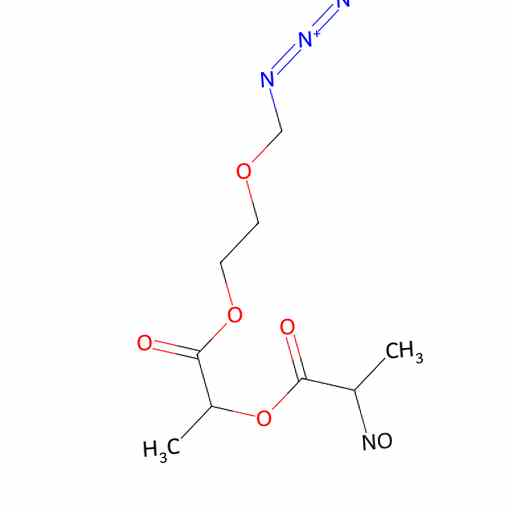 CC(N=O)C(=O)OC(C)C(=O)OCCOCN=[N+]=[N-]